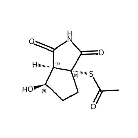 CC(=O)S[C@]12CC[C@@H](O)[C@H]1C(=O)NC2=O